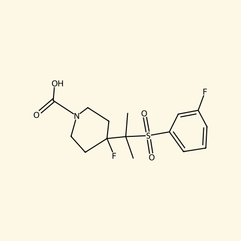 CC(C)(C1(F)CCN(C(=O)O)CC1)S(=O)(=O)c1cccc(F)c1